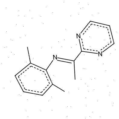 CC(=Nc1c(C)cccc1C)c1ncccn1